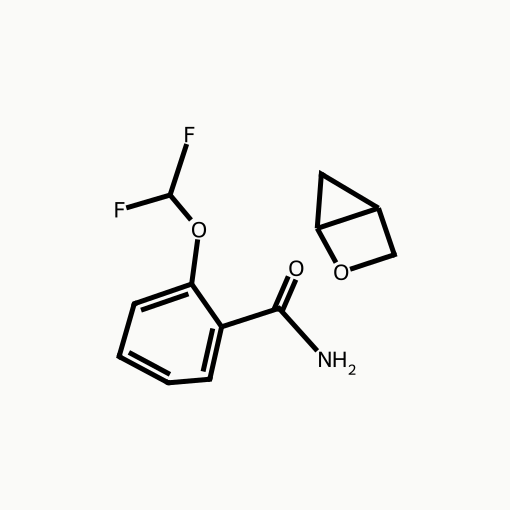 C1OC2CC12.NC(=O)c1ccccc1OC(F)F